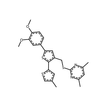 COc1ccc(-c2cc(CSc3nc(C)cc(C)n3)c(-c3cc(C)cs3)s2)cc1OC